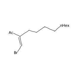 CCCCCCCCCCC(=CBr)C(C)=O